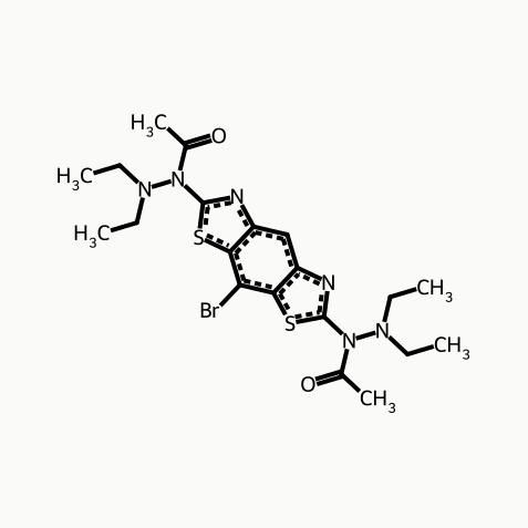 CCN(CC)N(C(C)=O)c1nc2cc3nc(N(C(C)=O)N(CC)CC)sc3c(Br)c2s1